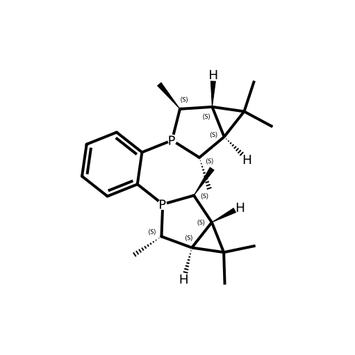 C[C@H]1[C@H]2[C@H]([C@H](C)P1c1ccccc1P1[C@@H](C)[C@H]3[C@H]([C@@H]1C)C3(C)C)C2(C)C